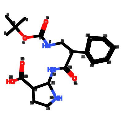 CC(C)(C)OC(=O)NCC(C(=O)NC1NCCC1C(=O)O)c1ccccc1